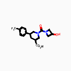 O=C(O)C1CC(c2ccc(C(F)(F)F)cc2)CN(C(=O)N2CC(O)C2)C1